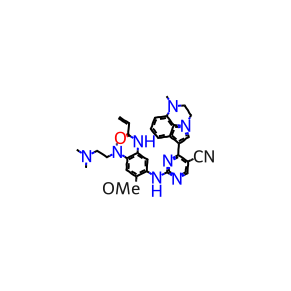 C=CC(=O)Nc1cc(Nc2ncc(C#N)c(-c3cn4c5c(cccc35)N(C)CC4)n2)c(OC)cc1N(C)CCN(C)C